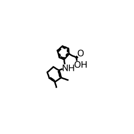 CC1=CCCC(Nc2ccccc2C(=O)O)=C1C